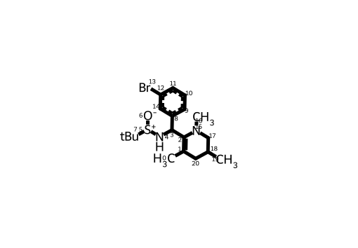 CC1=C(C(N[S+]([O-])C(C)(C)C)c2cccc(Br)c2)N(C)CC(C)C1